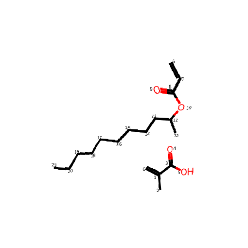 C=C(C)C(=O)O.C=CC(=O)OC(C)CCCCCCCCC